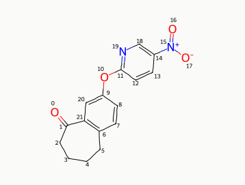 O=C1CCCCc2ccc(Oc3ccc([N+](=O)[O-])cn3)cc21